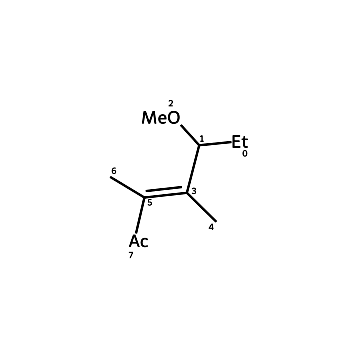 CCC(OC)/C(C)=C(\C)C(C)=O